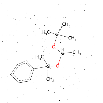 C[SiH](O[Si](C)(C)C)O[Si](C)(C)c1ccccc1